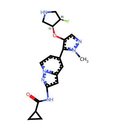 Cn1ncc(O[C@H]2CNC[C@H]2F)c1-c1ccn2nc(NC(=O)C3CC3)cc2c1